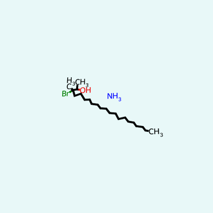 CCCCCCCCCCCCCCCCCCC(C)(Br)C(C)O.N